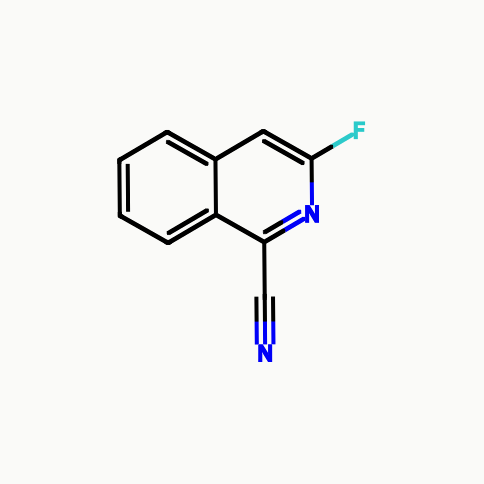 N#Cc1nc(F)cc2ccccc12